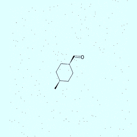 C[C@H]1CC[C@@H](C=O)CC1